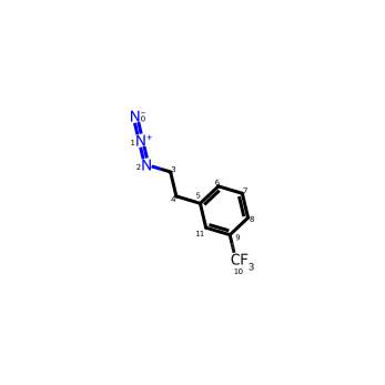 [N-]=[N+]=NCCc1cccc(C(F)(F)F)c1